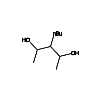 CCCCC(C(C)O)C(C)O